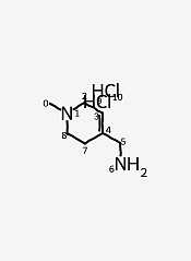 CN1CC=C(CN)CC1.Cl.Cl